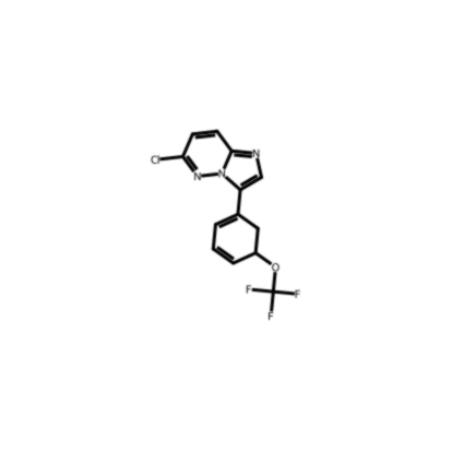 FC(F)(F)OC1C=CC=C(c2cnc3ccc(Cl)nn23)C1